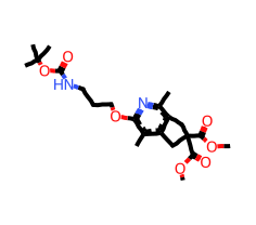 COC(=O)C1(C(=O)OC)Cc2c(C)nc(OCCCNC(=O)OC(C)(C)C)c(C)c2C1